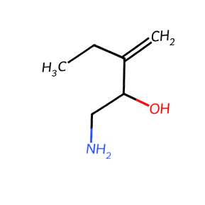 C=C(CC)C(O)CN